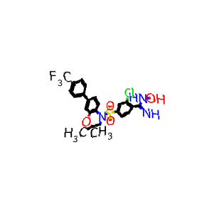 CC1(C)CN(S(=O)(=O)c2ccc(C(=N)NO)c(Cl)c2)c2ccc(-c3ccc(C(F)(F)F)cc3)cc2O1